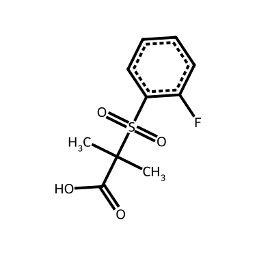 CC(C)(C(=O)O)S(=O)(=O)c1ccccc1F